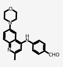 Cc1cc(Nc2ccc(C=O)cc2)c2cc(N3CCOCC3)ccc2n1